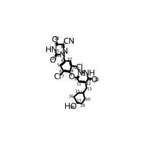 N#Cc1nn(-c2cc(Cl)c(Oc3cc(CC4CCC(O)CC4)c(=O)[nH]n3)c(Cl)c2)c(=O)[nH]c1=O